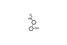 O=CNc1cccc(-c2cc[c]cc2O)c1